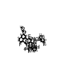 C#Cc1c(F)ccc2cc(OCOC)cc(-c3nc4c5c(nc(OC[C@@]67CCCN6C[C@H](F)C7)nc5c3F)N3C[C@H]5CC[C@H](C5)[C@H]3[C@@H](C(F)F)O4)c12